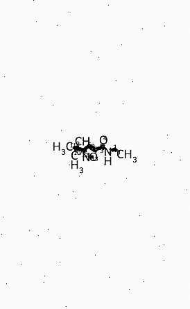 CCNC(=O)c1cc(C(C)(C)C)no1